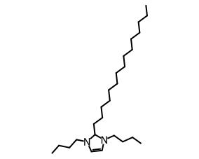 CCCCCCCCCCCCCCCC1N(CCCC)C=CN1CCCC